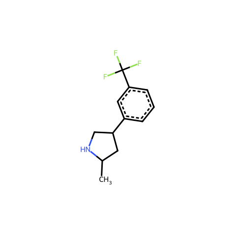 CC1CC(c2cccc(C(F)(F)F)c2)CN1